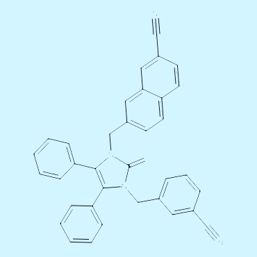 N#Cc1cccc(Cn2c(-c3ccccc3)c(-c3ccccc3)n(Cc3ccc4ccc(C#N)cc4c3)c2=O)c1